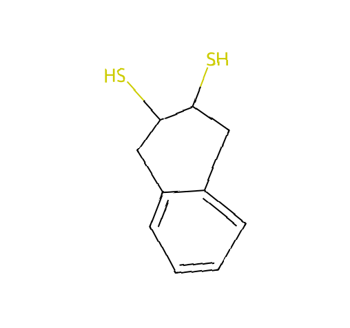 SC1Cc2ccccc2CC1S